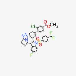 COC(=O)c1ccc(-c2cccc(-c3c(-c4cccc5nncn45)c4cc(F)ccc4n3S(=O)(=O)c3ccc(C(F)F)cc3)c2)c(Cl)c1